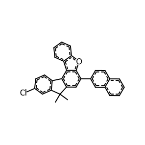 CC1(C)c2cc(Cl)ccc2-c2c1cc(-c1ccc3ccccc3c1)c1oc3ccccc3c21